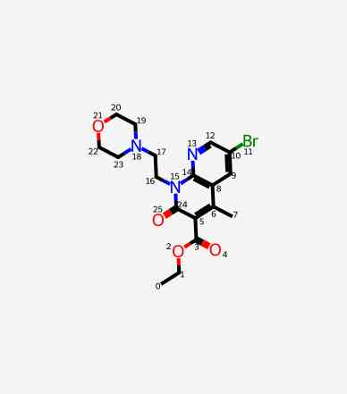 CCOC(=O)c1c(C)c2cc(Br)cnc2n(CCN2CCOCC2)c1=O